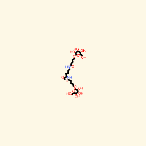 CC(=O)C(CCCCNC(=O)CCCCO[C@H]1OC(CO)C(O)C(O)C1O)NC(=O)CCCCOC1OC(CO)C(O)C(O)C1O